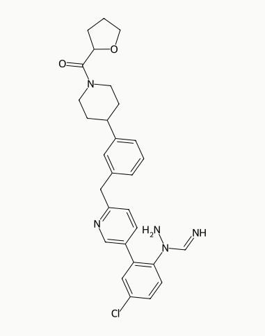 N=CN(N)c1ccc(Cl)cc1-c1ccc(Cc2cccc(C3CCN(C(=O)C4CCCO4)CC3)c2)nc1